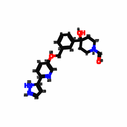 O=CN1CCC(O)(c2cccc(COc3ccc(-c4ccn[nH]4)nc3)c2)CC1